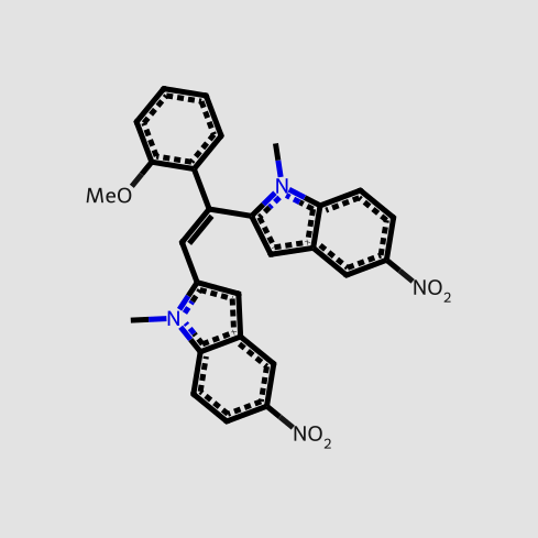 COc1ccccc1C(=Cc1cc2cc([N+](=O)[O-])ccc2n1C)c1cc2cc([N+](=O)[O-])ccc2n1C